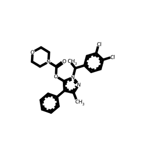 Cc1nn(C(C)c2ccc(Cl)c(Cl)c2)c(OC(=O)N2CCOCC2)c1-c1ccccc1